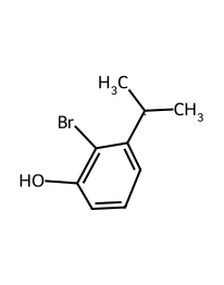 C[C](C)c1cccc(O)c1Br